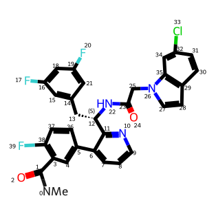 CNC(=O)c1cc(-c2cccnc2[C@H](Cc2cc(F)cc(F)c2)NC(=O)Cn2ccc3ccc(Cl)cc32)ccc1F